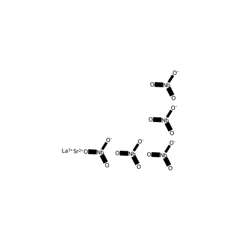 [La+3].[O]=[Nb](=[O])[O-].[O]=[Nb](=[O])[O-].[O]=[Nb](=[O])[O-].[O]=[Nb](=[O])[O-].[O]=[Nb](=[O])[O-].[Sr+2]